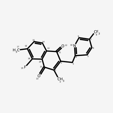 CC1=C(Cc2ccc(C(F)(F)F)cn2)C(=O)c2ccc(C)c(F)c2C1=O